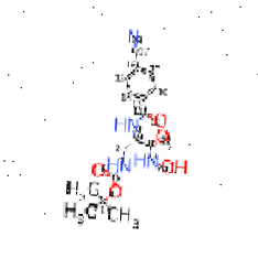 CC(C)(C)OC(=O)NC[C@H](NC(=O)c1ccc(C#N)cc1)C(=O)NO